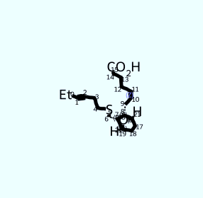 CCC#CCCSC[C@@H]1[C@H](C/C=C\CCCC(=O)O)[C@@H]2CC[C@H]1O2